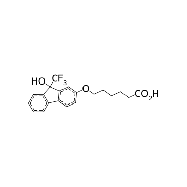 O=C(O)CCCCCOc1ccc2c(c1)C(O)(C(F)(F)F)c1ccccc1-2